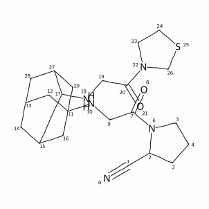 N#CC1CCCN1C(=O)CNC12CC3CC(C1)C(NCC(=O)N1CCSC1)C(C3)C2